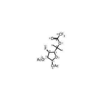 CC(=O)O[C@@H]1O[C@H](C(C)(C)OC(=O)C(F)(F)F)[C@H](F)[C@H]1OC(C)=O